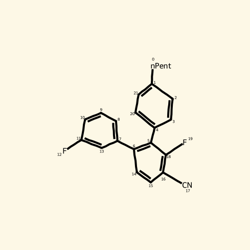 CCCCCc1ccc(-c2c(-c3cccc(F)c3)ccc(C#N)c2F)cc1